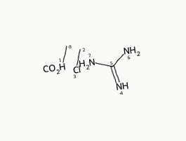 CC(=O)O.CCl.N=C(N)N